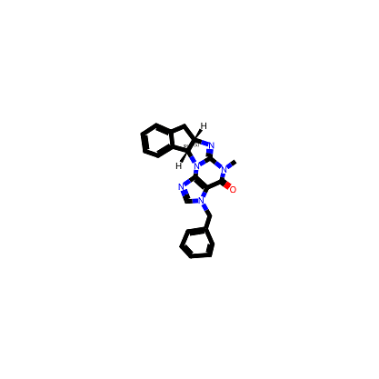 CN1C(=O)c2c(ncn2Cc2ccccc2)N2C1=N[C@H]1Cc3ccccc3[C@H]12